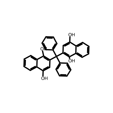 Oc1cc(C(c2ccccc2)(c2ccccc2)c2cc(O)c3ccccc3c2O)c(O)c2ccccc12